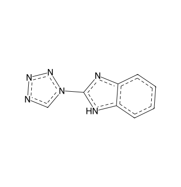 c1ccc2[nH]c(-n3cnnn3)nc2c1